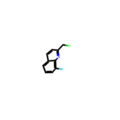 Fc1cccc2ccc(CCl)nc12